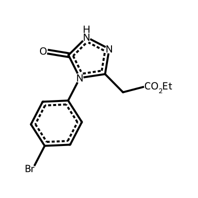 CCOC(=O)Cc1n[nH]c(=O)n1-c1ccc(Br)cc1